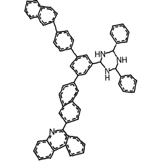 c1ccc(C2NC(c3ccccc3)NC(c3cc(-c4ccc(-c5ccc6ccccc6c5)cc4)cc(-c4ccc5cc(-c6nc7ccccc7c7ccccc67)ccc5c4)c3)N2)cc1